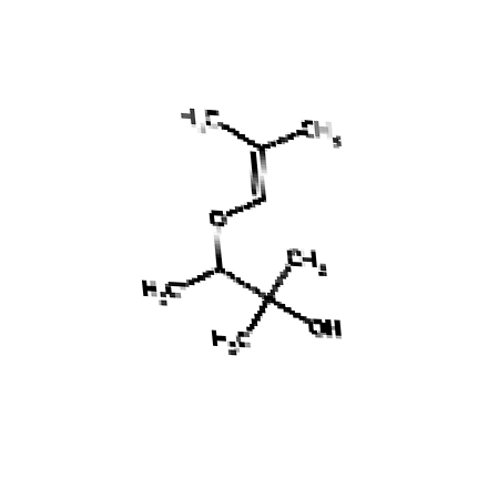 CC(C)=COC(C)C(C)(C)O